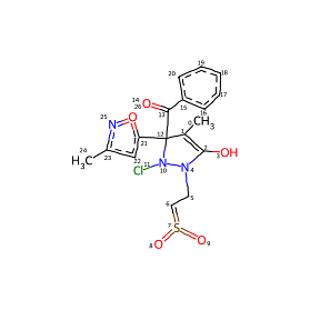 CC1=C(O)N(CC=S(=O)=O)N(Cl)C1(C(=O)c1ccccc1)c1cc(C)no1